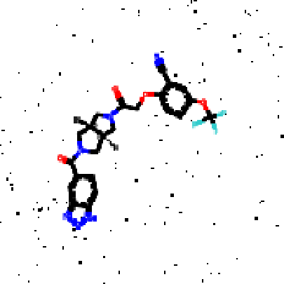 N#Cc1cc(OC(F)(F)F)ccc1OCC(=O)N1C[C@H]2CN(C(=O)c3ccc4[nH]nnc4c3)C[C@@H]2C1